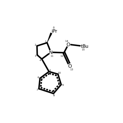 CC(C)[C@@H]1CCC(c2ccccc2)N1C(=O)OC(C)(C)C